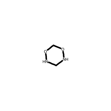 C1NOCON1